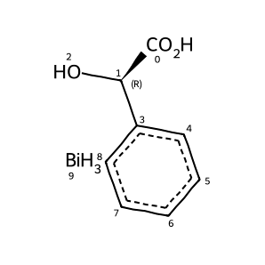 O=C(O)[C@H](O)c1ccccc1.[BiH3]